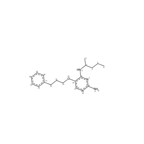 CCCC(C)Nc1nc(N)ncc1OCCCc1ccccc1